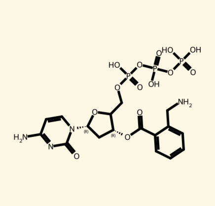 NCc1ccccc1C(=O)O[C@@H]1C[C@H](n2ccc(N)nc2=O)OC1COP(=O)(O)OP(=O)(O)OP(=O)(O)O